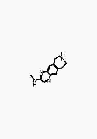 CNc1cnc2cc3c(cc2n1)CCNCC3